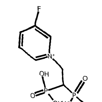 CP(=O)(O)C(C[n+]1cccc(F)c1)P(=O)(O)O